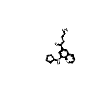 CCCCC(=O)c1cc(NC2CCCC2)c2ncccc2c1